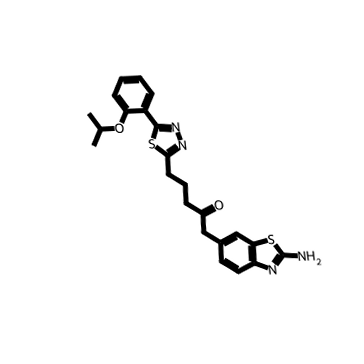 CC(C)Oc1ccccc1-c1nnc(CCCC(=O)Cc2ccc3nc(N)sc3c2)s1